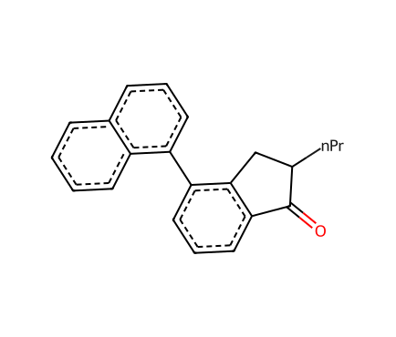 CCCC1Cc2c(cccc2-c2cccc3ccccc23)C1=O